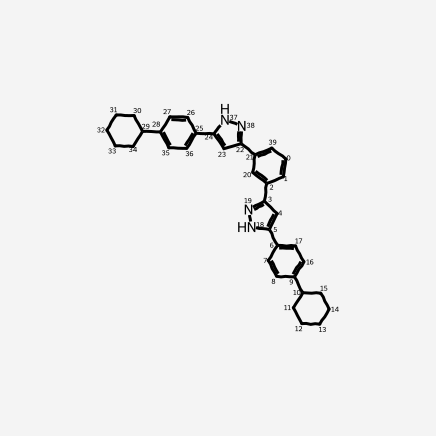 c1cc(-c2cc(-c3ccc(C4CCCCC4)cc3)[nH]n2)cc(-c2cc(-c3ccc(C4CCCCC4)cc3)[nH]n2)c1